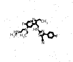 CCc1nn2cc(F)c(N(CC)CCNC)cc2c1CNc1nc(-c2ccc(F)cc2)c(C#N)s1